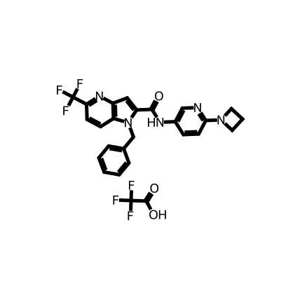 O=C(Nc1ccc(N2CCC2)nc1)c1cc2nc(C(F)(F)F)ccc2n1Cc1ccccc1.O=C(O)C(F)(F)F